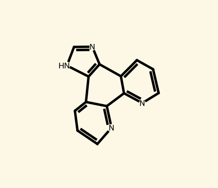 c1cnc2c(c1)c1nc[nH]c1c1cccnc12